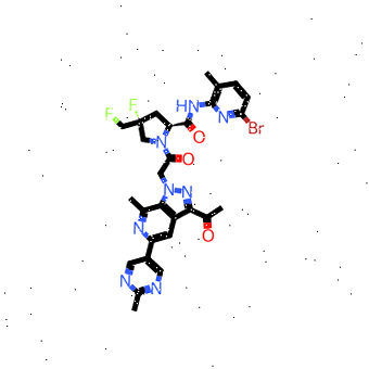 CC(=O)c1nn(CC(=O)N2C[C@@](F)(CF)C[C@H]2C(=O)Nc2nc(Br)ccc2C)c2c(C)nc(-c3cnc(C)nc3)cc12